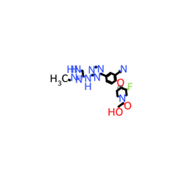 CCN/N=C(\C=N)Nc1ncnc(-c2ccc(O[C@H]3CCN(C(=O)CO)CC3F)c(C#N)c2)n1